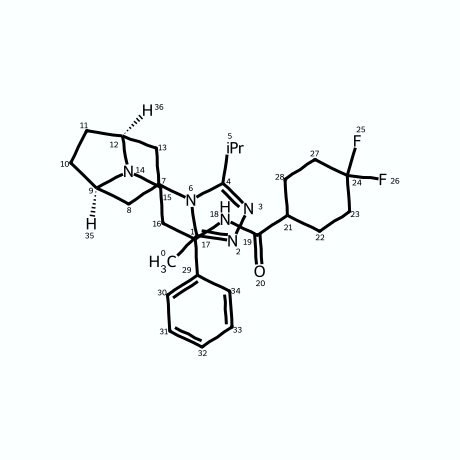 Cc1nnc(C(C)C)n1C1C[C@H]2CC[C@@H](C1)N2CCC(NC(=O)C1CCC(F)(F)CC1)c1ccccc1